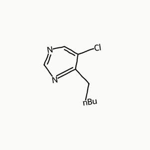 CCCCCc1ncncc1Cl